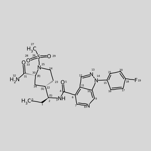 CC[C@H](NC(=O)c1cncc2c1cnn2-c1ccc(F)cc1)[C@H]1CCN(S(C)(=O)=O)[C@@H](C(N)=O)C1